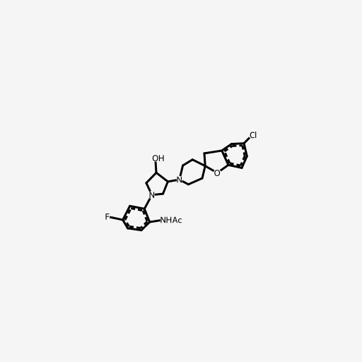 CC(=O)Nc1ccc(F)cc1N1CC(O)C(N2CCC3(CC2)Cc2cc(Cl)ccc2O3)C1